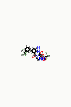 O=C1Nc2ccc(-c3cccc(C(F)(F)F)c3)cc2C(=O)N2CCNC(OC(=O)C(F)(F)F)[C@H]12